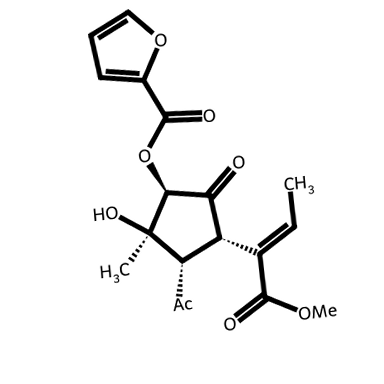 C/C=C(/C(=O)OC)[C@H]1C(=O)[C@H](OC(=O)c2ccco2)[C@](C)(O)[C@H]1C(C)=O